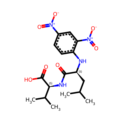 CC(C)C[C@H](Nc1ccc([N+](=O)[O-])cc1[N+](=O)[O-])C(=O)N[C@H](C(=O)O)C(C)C